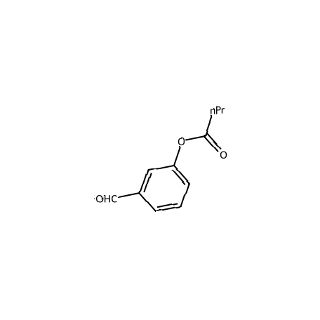 CCCC(=O)Oc1cccc([C]=O)c1